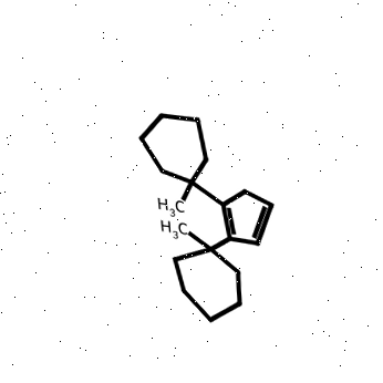 CC1(C2=C(C3(C)CCCCC3)CC=C2)CCCCC1